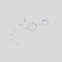 CC(C)(C(=O)N[C@@H]1CCCC[C@H]1N1Cc2ccc(-c3nnc(C(F)F)o3)cc2C1=O)C(F)(F)F